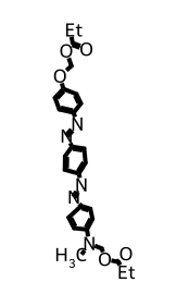 CCC(=O)OCOc1ccc(N=Nc2ccc(N=Nc3ccc(N(C)COC(=O)CC)cc3)cc2)cc1